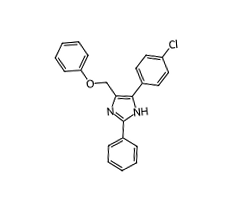 Clc1ccc(-c2[nH]c(-c3ccccc3)nc2COc2ccccc2)cc1